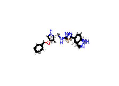 c1ccc(CO[C@H]2CN[C@H](CNc3nnc(-c4ccc5[nH]ncc5c4)s3)C2)cc1